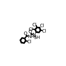 O=C(NC(=O)N(S)c1cc(Cl)c(Cl)c(Cl)c1Cl)c1ccccc1Cl